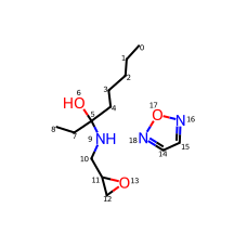 CCCCCC(O)(CC)NCC1CO1.c1cnon1